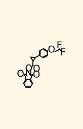 O=C(ON1C(=O)c2ccccc2C1=O)C1CC1c1ccc(OCC(F)F)cc1